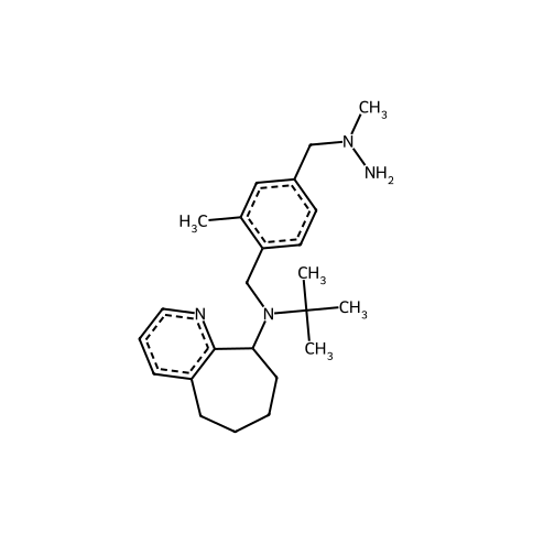 Cc1cc(CN(C)N)ccc1CN(C1CCCCc2cccnc21)C(C)(C)C